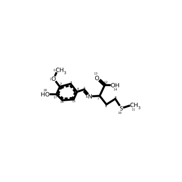 COc1cc(C=NC(CCSC)C(=O)O)ccc1O